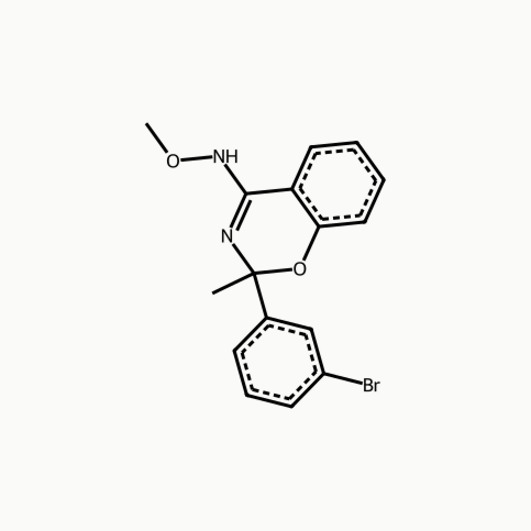 CONC1=NC(C)(c2cccc(Br)c2)Oc2ccccc21